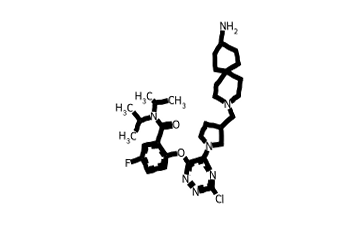 CC(C)N(C(=O)c1cc(F)ccc1Oc1nnc(Cl)nc1N1CCC(CN2CCC3(CCC(N)CC3)CC2)C1)C(C)C